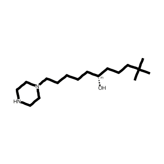 CC(C)(C)CCC[C@H](O)CCCCCN1CCNCC1